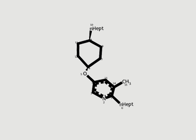 CCCCCCCc1ncc(O[C@H]2CC[C@H](CCCCCCC)CC2)cc1C